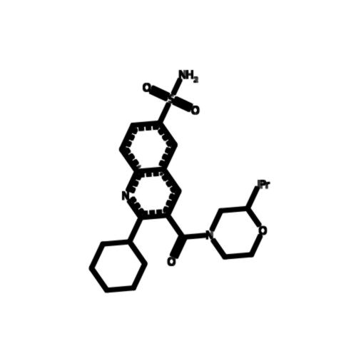 CC(C)C1CN(C(=O)c2cc3cc(S(N)(=O)=O)ccc3nc2C2CCCCC2)CCO1